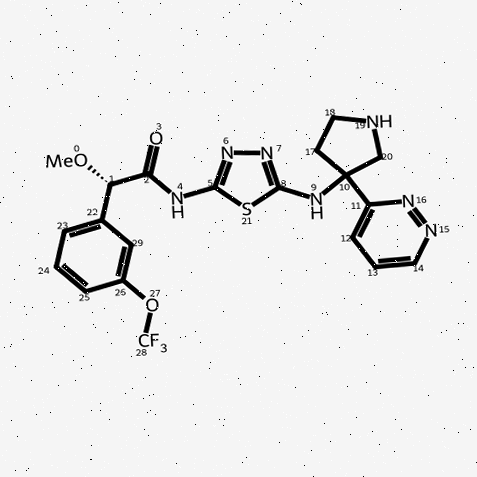 CO[C@H](C(=O)Nc1nnc(NC2(c3cccnn3)CCNC2)s1)c1cccc(OC(F)(F)F)c1